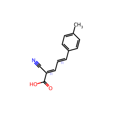 Cc1ccc(/C=C/C=C(\C#N)C(=O)O)cc1